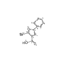 O=C(O)c1nc(-c2ccccc2)oc1Br